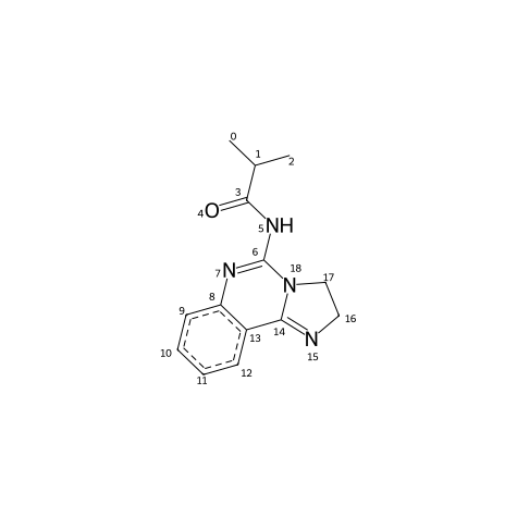 CC(C)C(=O)NC1=Nc2ccccc2C2=NCCN12